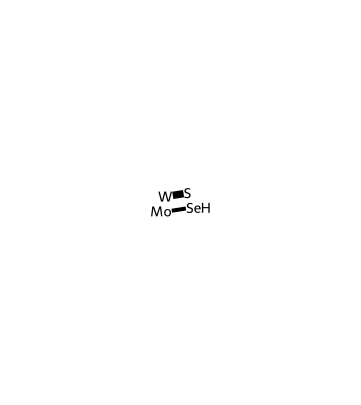 [S]=[W].[SeH][Mo]